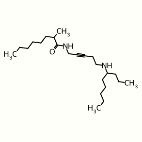 CCCCCCC(C)C(=O)NCC#CCCNC(CCC)CCCCC